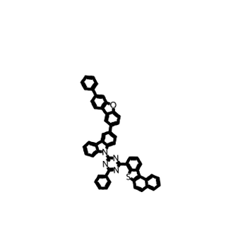 c1ccc(-c2ccc3c(c2)oc2ccc(-c4ccc5c(c4)c4ccccc4n5-c4nc(-c5ccccc5)nc(-c5cccc6c5sc5ccc7ccccc7c56)n4)cc23)cc1